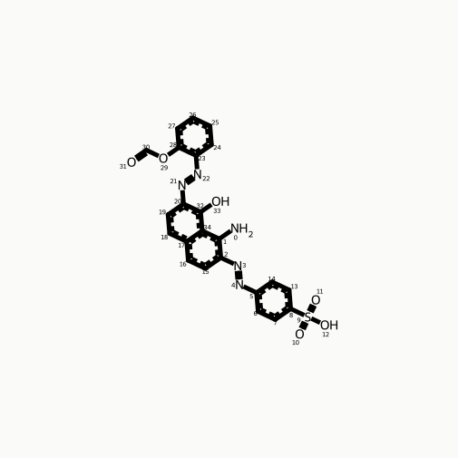 Nc1c(N=Nc2ccc(S(=O)(=O)O)cc2)ccc2ccc(N=Nc3ccccc3OC=O)c(O)c12